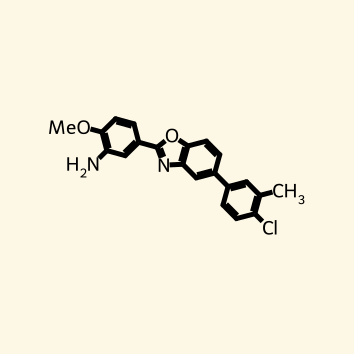 COc1ccc(-c2nc3cc(-c4ccc(Cl)c(C)c4)ccc3o2)cc1N